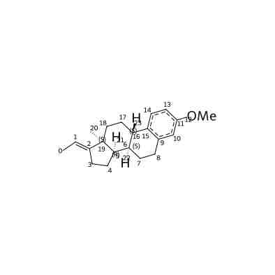 CC=C1CC[C@@H]2[C@@H]3CCc4cc(OC)ccc4[C@H]3CC[C@]12C